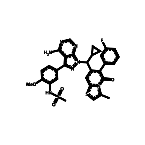 COc1ccc(-c2nn(C(c3cc4scc(C)n4c(=O)c3-c3cccc(F)c3)C3CC3)c3ncnc(N)c23)cc1NS(C)(=O)=O